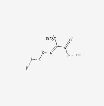 CCOC(=O)/C(=N\OCCBr)C(=O)CCl